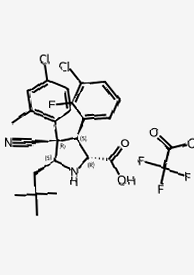 Cc1cc(Cl)ccc1[C@@]1(C#N)[C@H](CC(C)(C)C)N[C@@H](C(=O)O)[C@@H]1c1cccc(Cl)c1F.O=C(O)C(F)(F)F